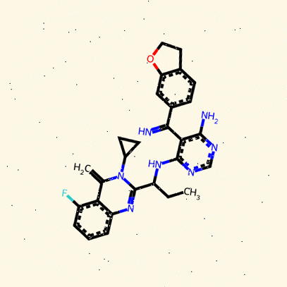 C=C1c2c(F)cccc2N=C(C(CC)Nc2ncnc(N)c2C(=N)c2ccc3c(c2)OCC3)N1C1CC1